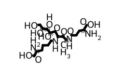 C[C@H](NC(=O)CC[C@H](N)C(=O)O)C(=O)C(NCCCC[C@H](N)C(=O)O)C(=O)[C@@H](O)[C@H](O)[C@H](O)CO